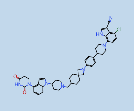 N#Cc1c[nH]c2c(N3CCC(c4ccc(N5CC6(CCC(CN7CCC(n8ccc9c(N%10CCC(=O)NC%10=O)cccc98)CC7)CC6)C5)cc4)CC3)ccc(Cl)c12